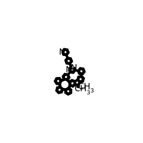 CC1(C)c2ccccc2-c2cc3c4cc(-c5cc(-c6ccccc6)nc(-c6ccc(-c7cccnc7)cc6)n5)ccc4c4ccccc4c4ccccc4c4ccccc4c3cc21